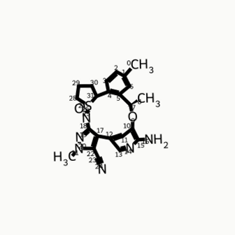 Cc1ccc2c(c1)[C@@H](C)Oc1cc(cnc1N)-c1c(nn(C)c1C#N)N=S1(=O)CCCC21